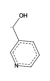 O[CH]c1cccnc1